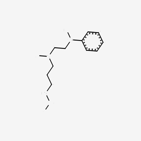 CCN(CCCNSC(F)(F)F)CCN(CC)c1ccccc1